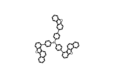 c1ccc2c(c1)ccc1c2oc2cccc(-c3ccc(N(c4ccc(-c5ccc6oc7ccccc7c6c5)cc4)c4ccc(-c5cccc6oc7c8ccccc8ccc7c56)cc4)cc3)c21